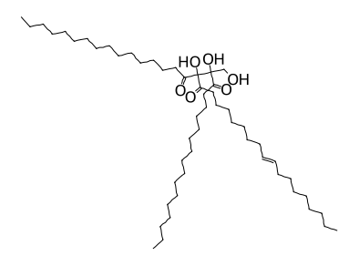 CCCCCCCCC=CCCCCCCCC(=O)C(O)(C(=O)CCCCCCCCCCCCCCC)C(O)(CO)C(=O)CCCCCCCCCCCCCCC